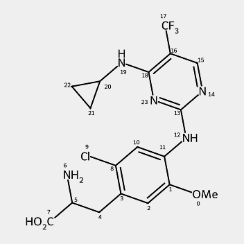 COc1cc(CC(N)C(=O)O)c(Cl)cc1Nc1ncc(C(F)(F)F)c(NC2CC2)n1